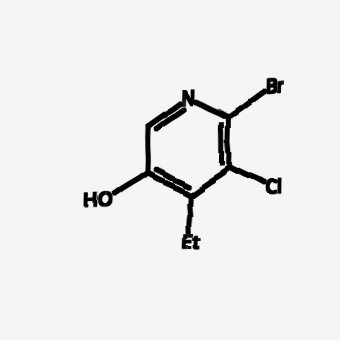 CCc1c(O)cnc(Br)c1Cl